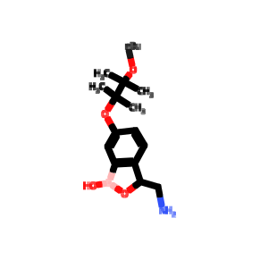 CCCCOC(C)(C)C(C)(C)Oc1ccc2c(c1)B(O)OC2CN